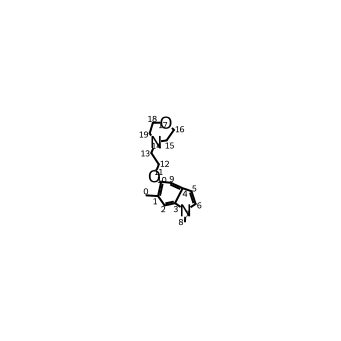 Cc1cc2c(ccn2C)cc1OCCN1CCOCC1